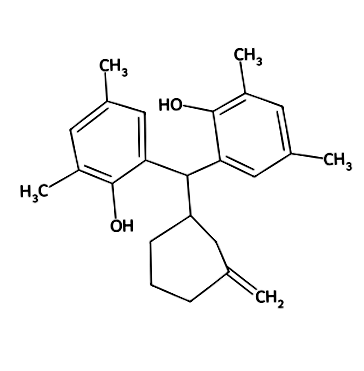 C=C1CCCC(C(c2cc(C)cc(C)c2O)c2cc(C)cc(C)c2O)C1